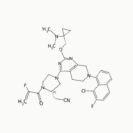 C=C(F)C(=O)N1CCN(c2nc(OCC3(N(C)C)CC3)nc3c2CCN(c2cccc4ccc(F)c(Cl)c24)C3)C[C@@H]1CC#N